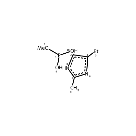 CCc1c[nH]c(C)n1.COP(O)O